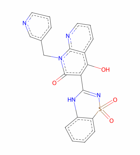 O=c1c(C2=NS(=O)(=O)c3ccccc3N2)c(O)c2cccnc2n1Cc1cccnc1